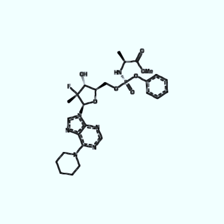 COC(=O)[C@H](C)N[P@](=O)(OC[C@H]1O[C@@H](n2cnc3c(N4CCCCC4)ncnc32)[C@](C)(F)[C@@H]1O)Oc1ccccc1